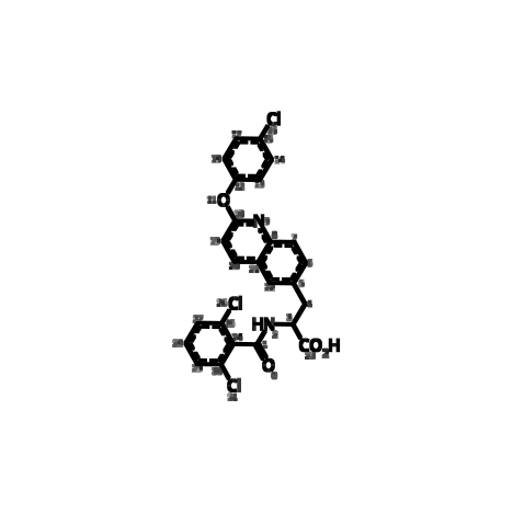 O=C(NC(Cc1ccc2nc(Oc3ccc(Cl)cc3)ccc2c1)C(=O)O)c1c(Cl)cccc1Cl